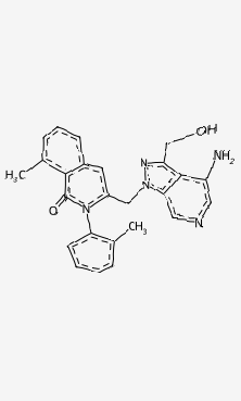 Cc1ccccc1-n1c(Cn2nc(CO)c3c(N)cncc32)cc2cccc(C)c2c1=O